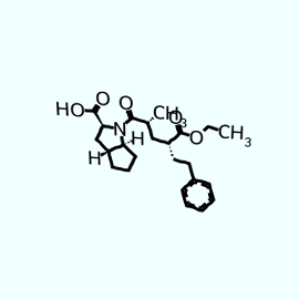 CCOC(=O)[C@H](CCc1ccccc1)C[C@@H](C)C(=O)N1[C@H](C(=O)O)C[C@H]2CCC[C@@H]21